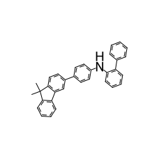 CC1(C)c2ccccc2-c2cc(-c3ccc(Nc4ccccc4-c4ccccc4)cc3)ccc21